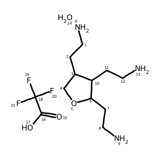 NCCC1COC(CCN)C1CCN.O.O=C(O)C(F)(F)F